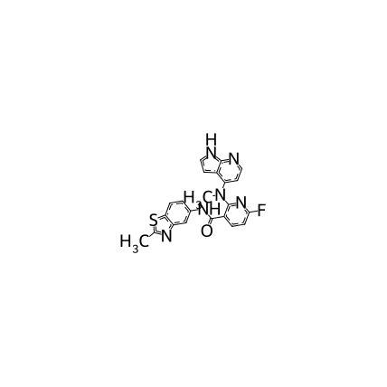 Cc1nc2cc(NC(=O)c3ccc(F)nc3N(C)c3ccnc4[nH]ccc34)ccc2s1